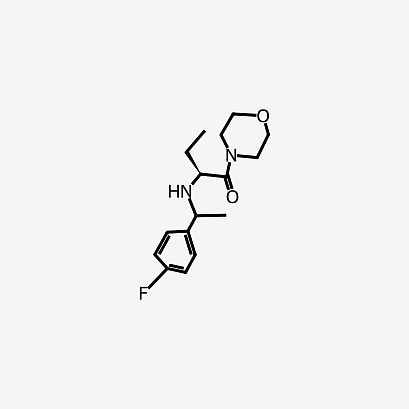 CC[C@H](NC(C)c1ccc(F)cc1)C(=O)N1CCOCC1